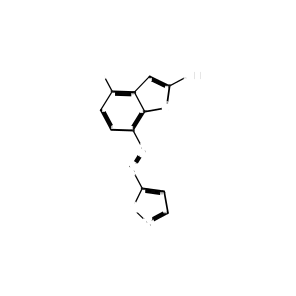 Cc1cc2c(O)ccc(/N=N/c3ccns3)c2s1